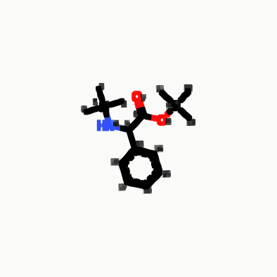 C[Si](C)(C)NC(C(=O)O[Si](C)(C)C)c1ccccc1